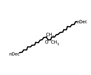 CCCCCCCCCCCCCCCCCCCCCCCC(C)C(=O)C(C)CCCCCCCCCCCCCCCCCCCCCCC